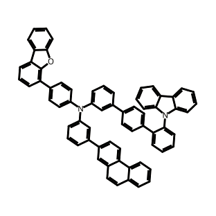 c1cc(-c2ccc(-c3ccccc3-n3c4ccccc4c4ccccc43)cc2)cc(N(c2ccc(-c3cccc4c3oc3ccccc34)cc2)c2cccc(-c3ccc4c(ccc5ccccc54)c3)c2)c1